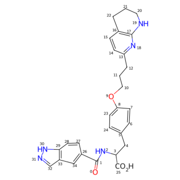 O=C(NC(Cc1ccc(OCCCc2ccc3c(n2)NCCC3)cc1)C(=O)O)c1ccc2[nH]ncc2c1